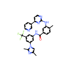 Cc1cn(-c2cc(NC(=O)c3ccc(C)c(Nc4nccc(-c5cccnc5)n4)c3)cc(C(F)(F)F)c2)c(C)n1